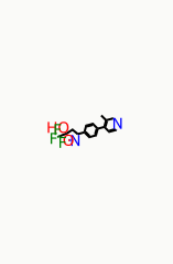 Cc1cnccc1-c1ccc(C2=NOC(O)(C(F)(F)F)C2)cc1